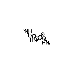 CCNCCOc1ccc2c3cc(=O)c(OCCNCC)cc-3c[nH]c2c1